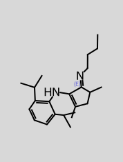 CCCC/N=C1/C(Nc2c(C(C)C)cccc2C(C)C)=C(C)CC1C